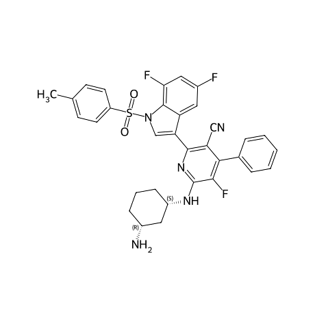 Cc1ccc(S(=O)(=O)n2cc(-c3nc(N[C@H]4CCC[C@@H](N)C4)c(F)c(-c4ccccc4)c3C#N)c3cc(F)cc(F)c32)cc1